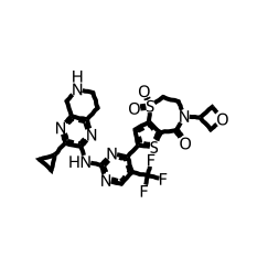 O=C1c2sc(-c3nc(Nc4nc5c(nc4C4CC4)CNCC5)ncc3C(F)(F)F)cc2S(=O)(=O)CCN1C1COC1